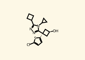 O[C@H]1C[C@@](c2ccc(Cl)s2)(c2nnc(C3CCC3)n2C2CC2)C1